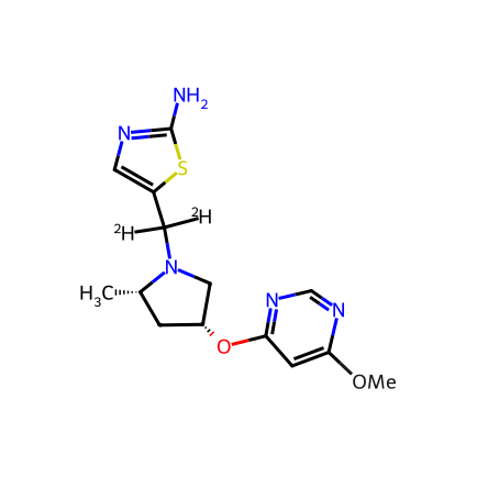 [2H]C([2H])(c1cnc(N)s1)N1C[C@H](Oc2cc(OC)ncn2)C[C@@H]1C